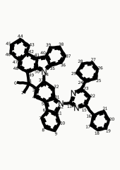 CC1(C)c2cc3c4ccccc4n(-c4nc(-c5ccccc5)cc(-c5ccccc5)n4)c3cc2-n2c3ccccc3c3c4ccccc4cc1c32